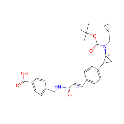 CC(C)(C)OC(=O)N(CC1CC1)[C@H]1CC1c1ccc(/C=C/C(=O)NCc2ccc(C(=O)O)cc2)cc1